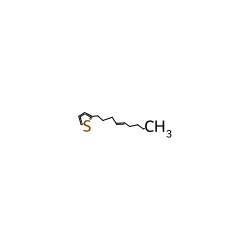 CCCCC=CCCCc1cccs1